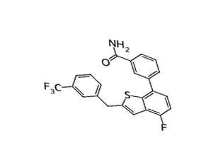 NC(=O)c1cccc(-c2ccc(F)c3cc(Cc4cccc(C(F)(F)F)c4)sc23)c1